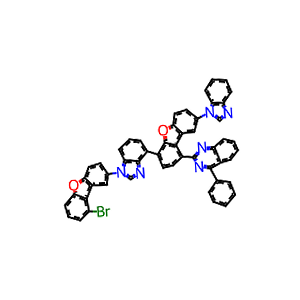 Brc1cccc2oc3ccc(-n4cnc5c(-c6ccc(-c7nc(-c8ccccc8)c8ccccc8n7)c7c6oc6ccc(-n8cnc9ccccc98)cc67)cccc54)cc3c12